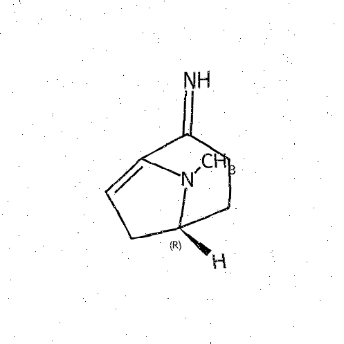 CN1C2=CC[C@H]1CCC2=N